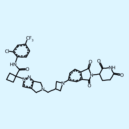 O=C1CCC(N2C(=O)c3ccc(N4CC(CN5Cc6cn(C7(C(=O)Nc8ccc(C(F)(F)F)cc8Cl)CCC7)nc6C5)C4)cc3C2=O)C(=O)N1